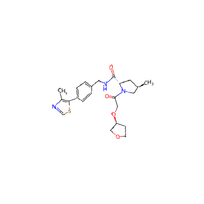 Cc1ncsc1-c1ccc(CNC(=O)[C@@H]2C[C@@H](C)CN2C(=O)CO[C@H]2CCOC2)cc1